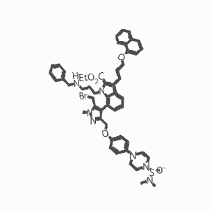 CCOC(=O)c1c(CCCOc2cccc3ccccc23)c2cccc(-c3c(COc4ccc(N5CCN([S+]([O-])N(C)C)CC5)cc4)nn(C)c3CBr)c2n1CCCNCc1ccccc1